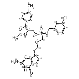 Cc1ccc(C2=C(COP(=O)(COCCn3cnc4c(=O)[nH]c(N)nc43)OCc3cccc(Cl)c3)OC(O)O2)cc1